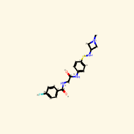 CN1CC(NSc2ccc(NC(=O)CNC(=O)c3ccc(F)cc3)cc2)C1